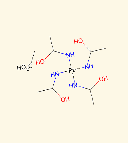 CC(=O)O.CC(O)[NH][Pt]([NH]C(C)O)([NH]C(C)O)[NH]C(C)O